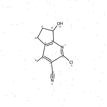 Cc1c(C#N)c(Cl)nc2c1CCC2O